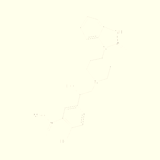 COC(=O)c1cc(C(O)CN2CCC(n3c(=O)[nH]c4ccccc43)CC2)ccc1O